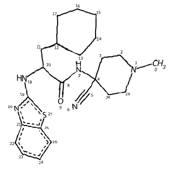 CN1CCC(C#N)(NC(=O)C(CC2CCCCC2)Nc2nc3ccccc3s2)CC1